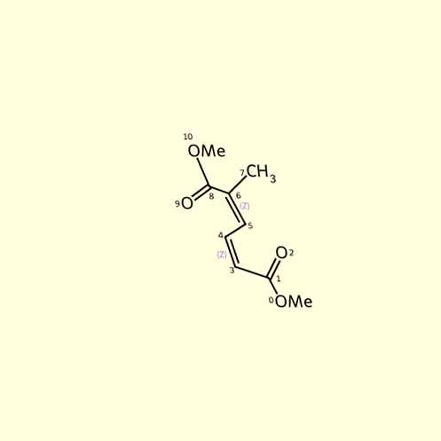 COC(=O)/C=C\C=C(\C)C(=O)OC